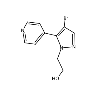 OCCn1ncc(Br)c1-c1ccncc1